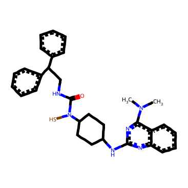 CN(C)c1nc(NC2CCC(N(S)C(=O)NCC(c3ccccc3)c3ccccc3)CC2)nc2ccccc12